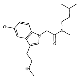 CNCCc1cn(CC(=O)N(C)CCC(C)C)c2ccc(Cl)cc12